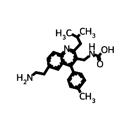 Cc1ccc(-c2c(CNC(=O)O)c(CC(C)C)nc3ccc(CCN)cc23)cc1